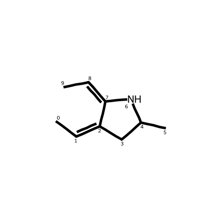 C/C=C1/CC(C)N/C1=C/C